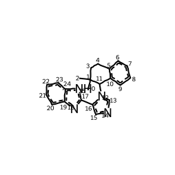 CC1(C)CCc2ccccc2C1n1cncc1-c1nc2ccccc2[nH]1